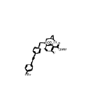 CCCCc1ccc(C#Cc2ccc(CN(CC3CC3C(=O)OCC)c3ccc(F)c(C(=O)OC)c3)cc2)cc1